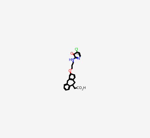 O=C(O)CC1Cc2ccc(OCCCNC3=NC=C[C@H](Cl)C3=O)cc2Cc2ccccc21